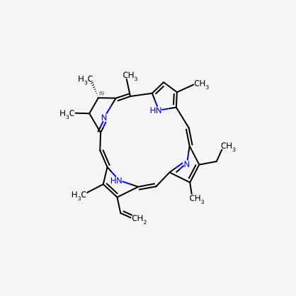 C=Cc1c(C)c2cc3nc(c(C)c4cc(C)c(cc5nc(cc1[nH]2)C(C)=C5CC)[nH]4)[C@@H](C)C3C